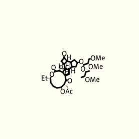 CC[C@H]1CCC[C@H](OC(C)=O)[C@@H](C)C(=O)C2=C[C@@H]3[C@@H]([C@H]4CC(=O)[C@H]4C4C[C@@H](OC(OC(C)[C@@H](C)OC)[C@H](COC)OC)C[C@H]43)[C@@H]2CC(=O)O1